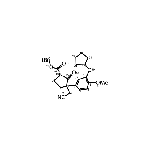 COc1ccc(C2(CC#N)CCN(C(=O)OC(C)(C)C)C2=O)cc1OC1CCCC1